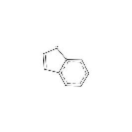 [C]1C=Cc2ccccc21